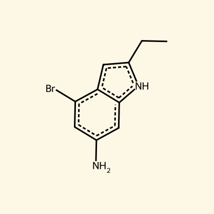 CCc1cc2c(Br)cc(N)cc2[nH]1